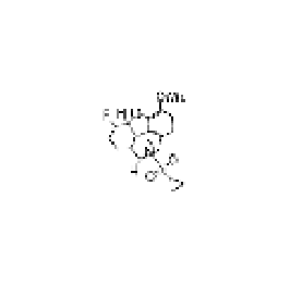 COc1ccc2c3c1O[C@@H]1C(F)CCC4[C@H](C2)N(S(=O)(=O)C2CC2)CC[C@]341